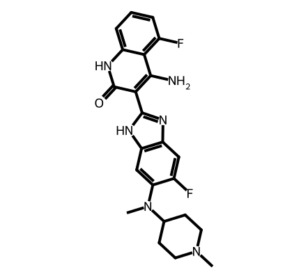 CN1CCC(N(C)c2cc3[nH]c(-c4c(N)c5c(F)cccc5[nH]c4=O)nc3cc2F)CC1